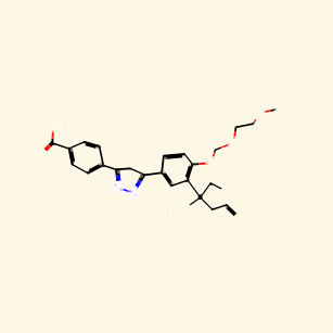 C=CCC(C)(CC)c1cc(C2=NN=C(c3ccc(C(=O)O)cc3)C2)ccc1OCOCCOC